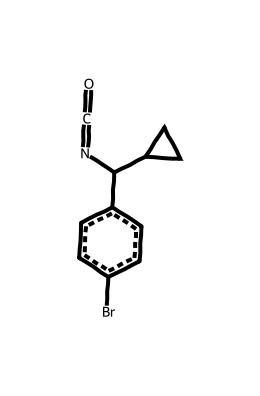 O=C=NC(c1ccc(Br)cc1)C1CC1